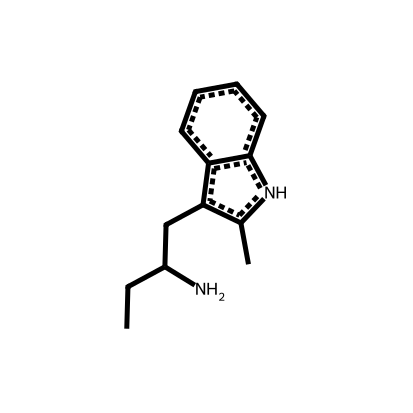 CCC(N)Cc1c(C)[nH]c2ccccc12